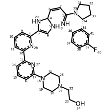 N=C(/C=C\C1NC=C(c2cccc(-c3cccc(N4CCN(CCO)CC4)n3)n2)N1)N1CCC[C@@H]1c1cccc(F)c1